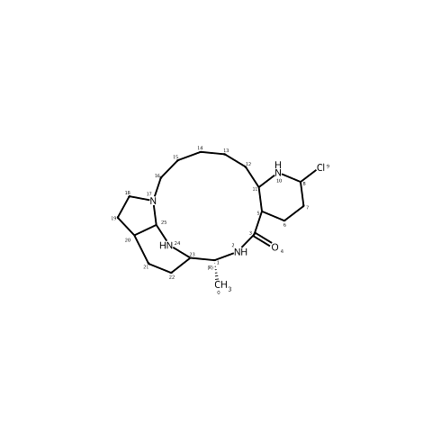 C[C@H]1NC(=O)C2CCC(Cl)NC2CCCCCN2CCC3CCC1NC32